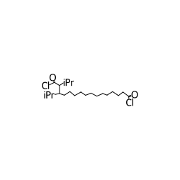 CC(C)C(CCCCCCCCCCCCC(=O)Cl)C(C(=O)Cl)C(C)C